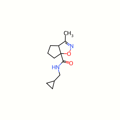 CC1=NOC2(C(=O)NCC3CC3)CCCC12